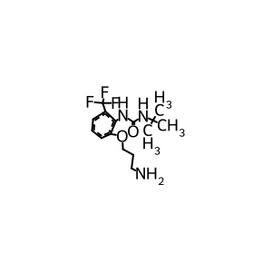 CC(C)(C)NC(=O)Nc1c(OCCCN)cccc1C(F)(F)F